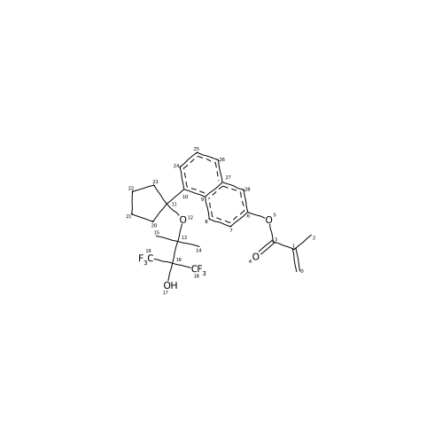 C=C(C)C(=O)Oc1ccc2c(C3(OC(C)(C)C(O)(C(F)(F)F)C(F)(F)F)CCCC3)cccc2c1